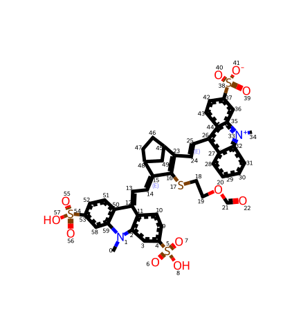 CN1c2cc(S(=O)(=O)O)ccc2C(=C/C=C2C(SCCOC=O)=C(/C=C/c3c4ccccc4[n+](C)c4cc(S(=O)(=O)[O-])ccc34)C3CCC/2C3)c2ccc(S(=O)(=O)O)cc21